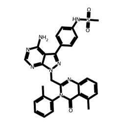 Cc1ccccc1-n1c(Cn2nc(-c3ccc(NS(C)(=O)=O)cc3)c3c(N)ncnc32)nc2cccc(C)c2c1=O